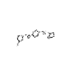 Fc1cccc(COc2ccc(C=NCc3ccco3)cc2)c1